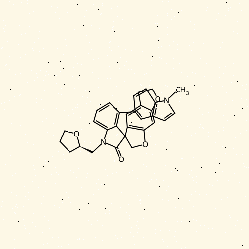 Cn1ccc2cc(-c3cccc4c3C3(COc5cc6c(cc53)CCO6)C(=O)N4C[C@H]3CCCO3)ccc21